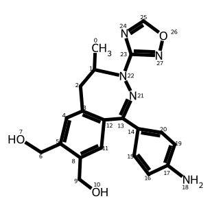 CC1Cc2cc(CO)c(CO)cc2C(c2ccc(N)cc2)=NN1c1ncon1